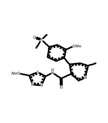 COc1nnc(NC(=O)c2cnc(C)cc2-c2ccc(P(C)(C)=O)cc2OC)s1